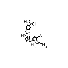 CC(C)Oc1nc(Cn2ccc(NC(=O)Cc3ccc(C(C)C)cc3)n2)ccc1C#N